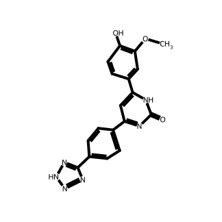 COc1cc(-c2cc(-c3ccc(-c4nn[nH]n4)cc3)nc(=O)[nH]2)ccc1O